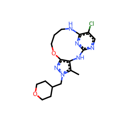 Cc1c2c(nn1CC1CCOCC1)OCCCNc1nc(ncc1Cl)N2